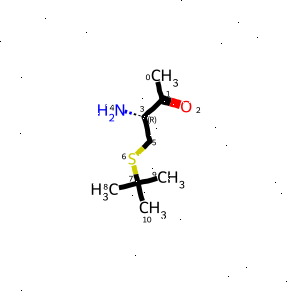 CC(=O)[C@@H](N)CSC(C)(C)C